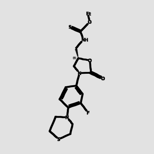 CCOC(=S)NC[C@H]1CN(c2ccc(N3CCSCC3)c(F)c2)C(=O)O1